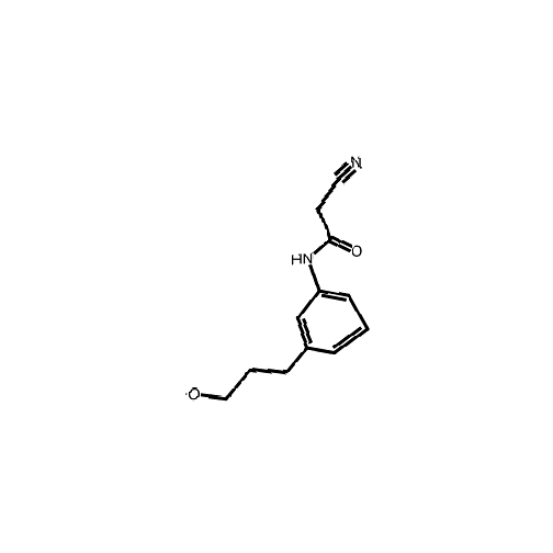 N#CCC(=O)Nc1cccc(CCC[O])c1